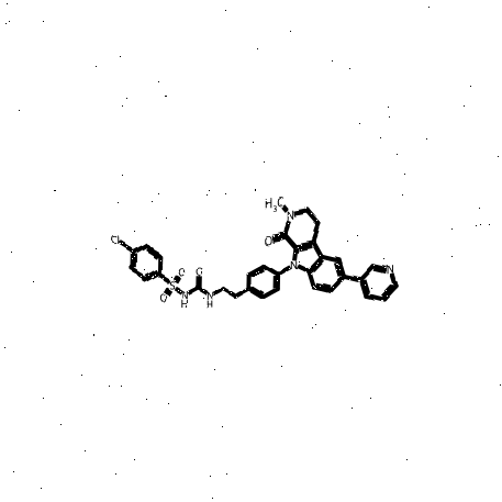 CN1CCc2c(n(-c3ccc(CCNC(=O)NS(=O)(=O)c4ccc(Cl)cc4)cc3)c3ccc(-c4cccnc4)cc23)C1=O